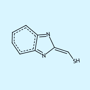 SC=C1N=c2ccccc2=N1